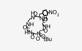 CC(C)(C)OC(=O)N1CC(=O)NCC(=O)NCCNC(=O)C(Cc2ccc([N+](=O)[O-])cc2)NC(=O)CNC(=O)C1